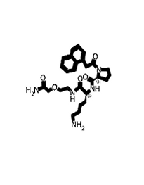 NCCCC[C@H](NC(=O)[C@@H]1CCCN1C(=O)Cc1cccc2ccccc12)C(=O)NCCOCC(N)=O